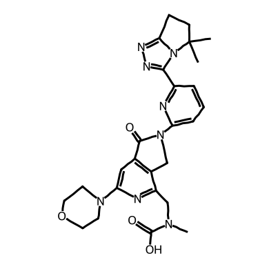 CN(Cc1nc(N2CCOCC2)cc2c1CN(c1cccc(-c3nnc4n3C(C)(C)CC4)n1)C2=O)C(=O)O